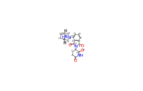 O=C1CCC(N2C(=O)c3cccc(N4C[C@H]5CC[C@@H](C4)N5)c3C2=O)C(=O)N1